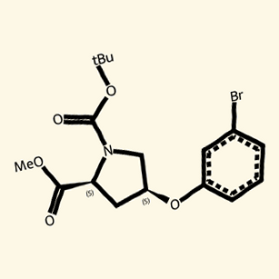 COC(=O)[C@@H]1C[C@H](Oc2cccc(Br)c2)CN1C(=O)OC(C)(C)C